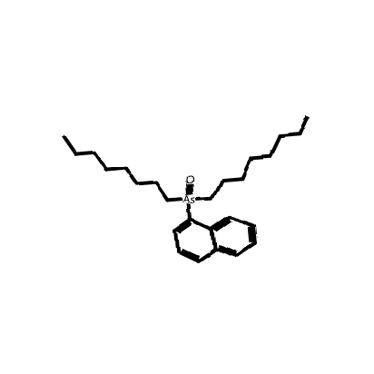 CCCCCCCC[As](=O)(CCCCCCCC)c1cccc2ccccc12